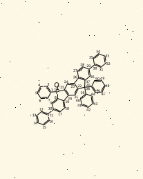 O=P1(c2ccccc2)c2cc(-c3ccccc3)ccc2-c2cc3c(cc21)-c1ccc(-c2ccccc2)cc1C3(c1ccccc1)c1ccccc1